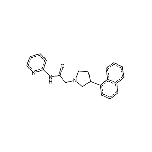 O=C(CN1CCC(c2cccc3ccccc23)C1)Nc1ccccn1